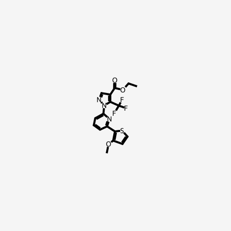 CCOC(=O)c1cnn(-c2cccc(-c3sccc3OC)n2)c1C(F)(F)F